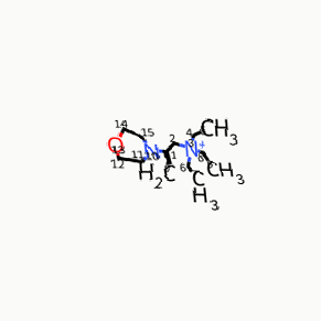 C=C(C[N+](CC)(CC)CC)N1CCOCC1